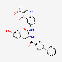 O=C(N[C@@H](Cc1ccc(O)cc1)C(=O)Nc1ccc2[nH]cc(C(=O)O)c(=O)c2c1)c1ccc(-c2ccccc2)cc1